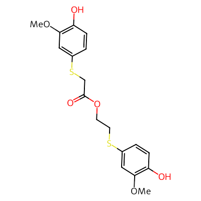 COc1cc(SCCOC(=O)CSc2ccc(O)c(OC)c2)ccc1O